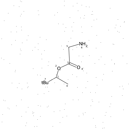 CC(OC(=O)CN)C(C)(C)C